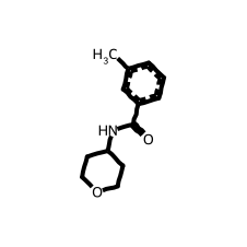 Cc1cccc(C(=O)NC2CCOCC2)c1